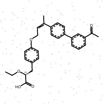 CCO[C@@H](Cc1ccc(OCC=C(C)c2ccc(-c3cccc(C(C)=O)c3)cc2)cc1)C(=O)O